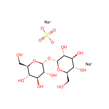 O=S(=O)([O-])[O-].OC[C@H]1O[C@H](O[C@H]2O[C@H](CO)[C@@H](O)[C@H](O)[C@H]2O)[C@H](O)[C@@H](O)[C@@H]1O.[Na+].[Na+]